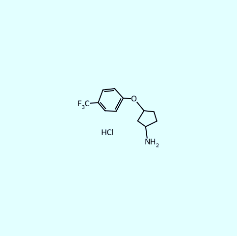 Cl.NC1CCC(Oc2ccc(C(F)(F)F)cc2)C1